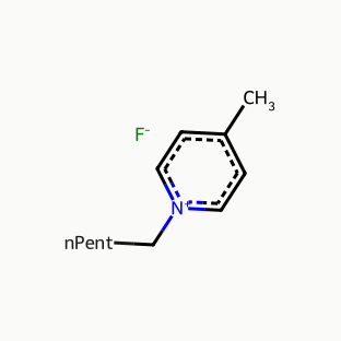 CCCCCC[n+]1ccc(C)cc1.[F-]